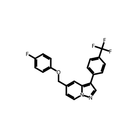 Fc1ccc(OCc2ccn3ncc(-c4ccc(C(F)(F)F)cc4)c3c2)cc1